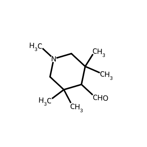 CN1CC(C)(C)C(C=O)C(C)(C)C1